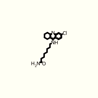 NC(=O)CCCCCCCNc1c2c(nc3cc(Cl)ccc13)CCCC2